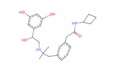 CC(C)(Cc1cccc(CC(=O)NC2CCC2)c1)NCC(O)c1cc(O)cc(O)c1